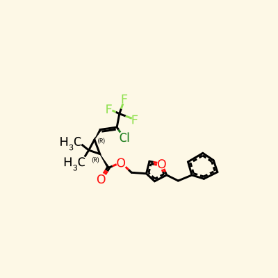 CC1(C)[C@H](C(=O)OCc2coc(Cc3ccccc3)c2)[C@@H]1C=C(Cl)C(F)(F)F